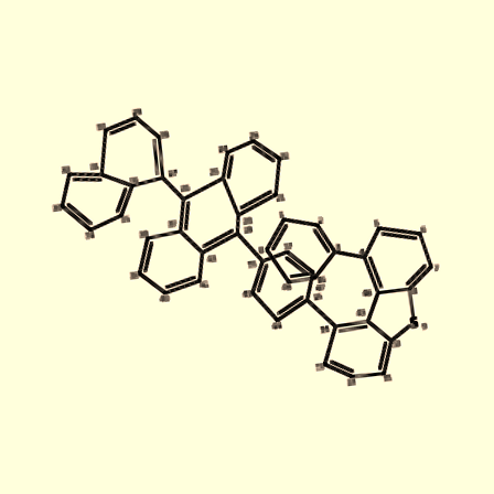 c1ccc(-c2cccc3sc4cccc(-c5ccc(-c6c7ccccc7c(-c7cccc8ccccc78)c7ccccc67)cc5)c4c23)cc1